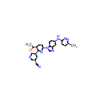 CC(=O)c1ccc(-n2cnc3cc(Nc4ccc(C)nn4)ccc32)nc1-c1cncc(C#N)c1